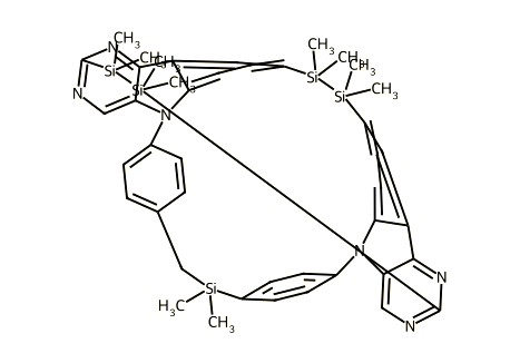 C[Si]1(C)Cc2ccc(cc2)-n2c3ccc4cc3c3nc(ncc32)[Si](C)(C)[Si](C)(C)c2ncc3c(n2)c2cc(ccc2n3-c2ccc1cc2)[Si](C)(C)[Si]4(C)C